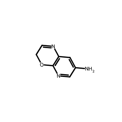 Nc1cnc2c(c1)N=CCO2